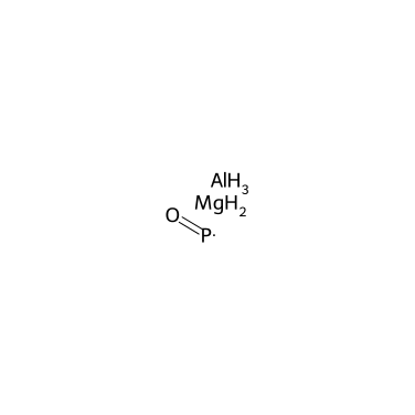 O=[P].[AlH3].[MgH2]